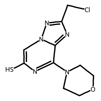 Sc1cn2nc(CCl)nc2c(N2CCOCC2)n1